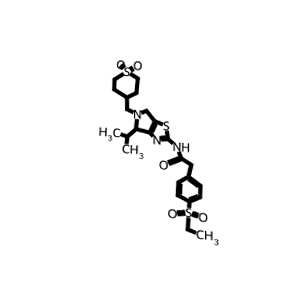 CCS(=O)(=O)c1ccc(CC(=O)Nc2nc3c(s2)CN(CC2CCS(=O)(=O)CC2)C3C(C)C)cc1